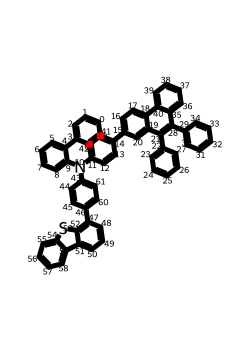 c1ccc(-c2ccccc2N(c2ccc(-c3ccc4c(c3)c(-c3ccccc3)c(-c3ccccc3)c3ccccc34)cc2)c2ccc(-c3cccc4c3sc3ccccc34)cc2)cc1